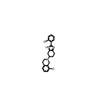 Clc1ccccc1-c1nc2c([nH]1)CC(N1CCc3cccc(Cl)c3C1)CC2